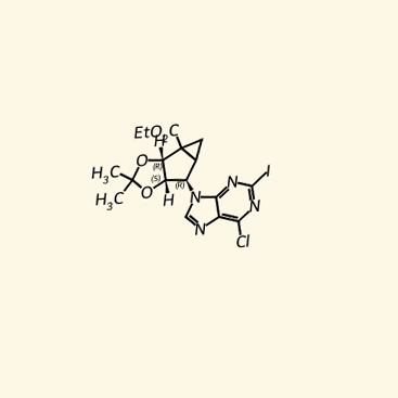 CCOC(=O)C12CC1[C@@H](n1cnc3c(Cl)nc(I)nc31)[C@@H]1OC(C)(C)O[C@@H]12